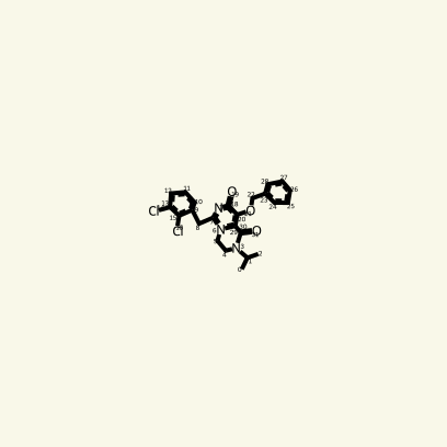 CC(C)N1CCn2c(Cc3cccc(Cl)c3Cl)nc(=O)c(OCc3ccccc3)c2C1=O